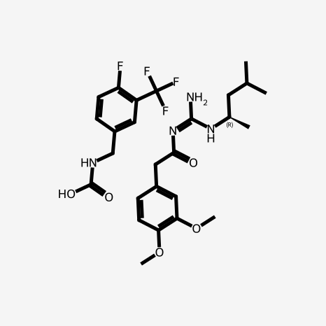 COc1ccc(CC(=O)N=C(N)N[C@H](C)CC(C)C)cc1OC.O=C(O)NCc1ccc(F)c(C(F)(F)F)c1